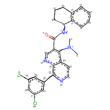 CN(C)c1c(C(=O)N[C@H]2CCCc3ccccc32)cnc2c(-c3cc(Cl)cc(Cl)c3)nccc12